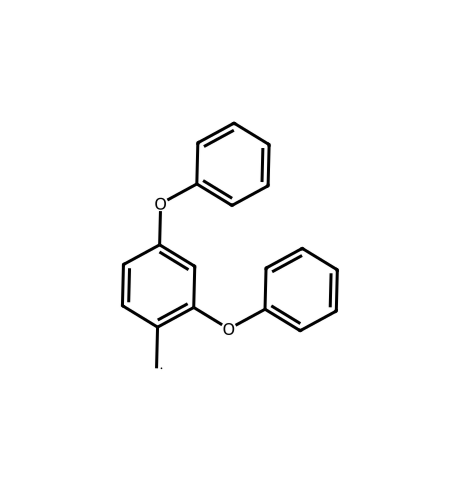 [CH2]c1ccc(Oc2ccccc2)cc1Oc1ccccc1